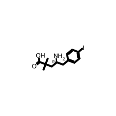 CC(C)(C[C@@H](N)Cc1ccc(I)cc1)C(=O)O